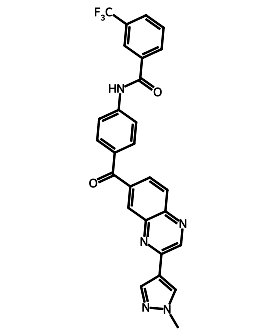 Cn1cc(-c2cnc3ccc(C(=O)c4ccc(NC(=O)c5cccc(C(F)(F)F)c5)cc4)cc3n2)cn1